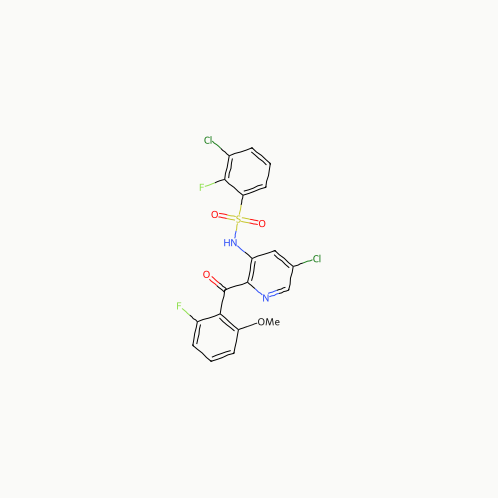 COc1cccc(F)c1C(=O)c1ncc(Cl)cc1NS(=O)(=O)c1cccc(Cl)c1F